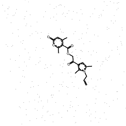 C=CCn1c(C)cc(C(=O)COC(=O)c2c(C)cc(=O)oc2C)c1C